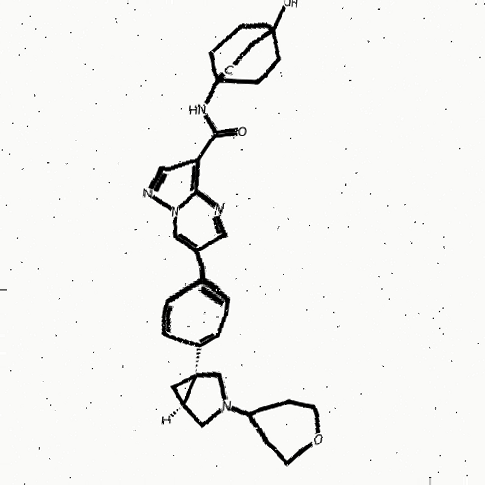 O=C(NC12CCC(O)(CC1)CC2)c1cnn2cc(-c3ccc([C@@]45C[C@@H]4CN(C4CCOCC4)C5)cc3)cnc12